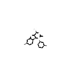 CNc1nc(=O)n(-c2cccc(C)c2)c2c1oc1cc(Cl)ccc12